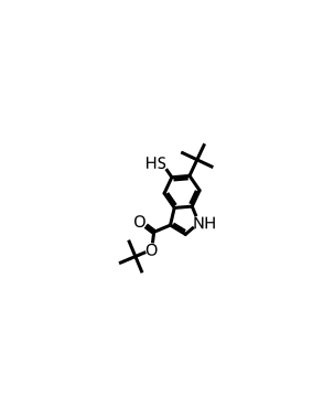 CC(C)(C)OC(=O)c1c[nH]c2cc(C(C)(C)C)c(S)cc12